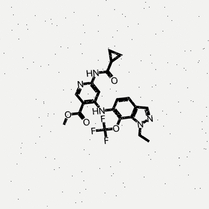 CCn1ncc2ccc(Nc3cc(NC(=O)C4CC4)ncc3C(=O)OC)c(OC(F)(F)F)c21